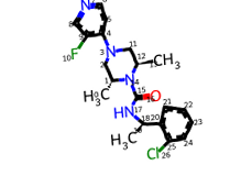 C[C@@H]1CN(c2ccncc2F)C[C@@H](C)N1C(=O)N[C@H](C)c1ccccc1Cl